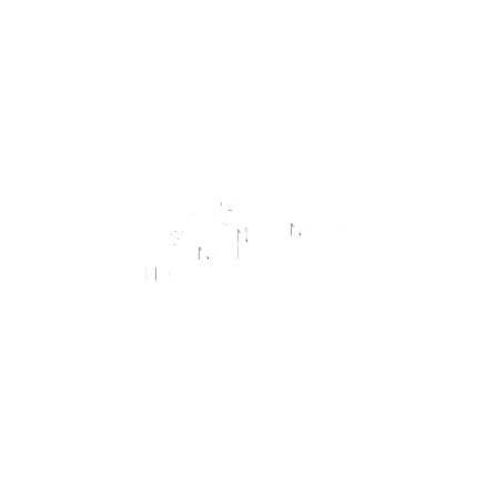 Cc1nc(C(=O)NCCN2CCCC2)cs1